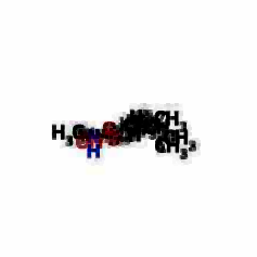 CC[C@@H](C)CC[C@@H](C)[C@H]1CC[C@H]2[C@@H]3CC=C4C[C@@H](OC(=O)CCNCC(C)O)CC[C@]4(C)[C@H]3CC[C@]12C